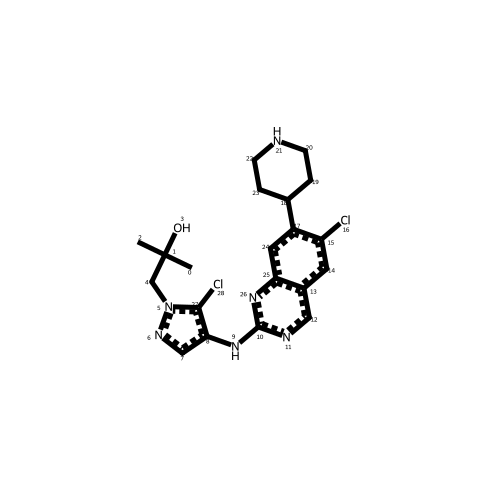 CC(C)(O)Cn1ncc(Nc2ncc3cc(Cl)c(C4CCNCC4)cc3n2)c1Cl